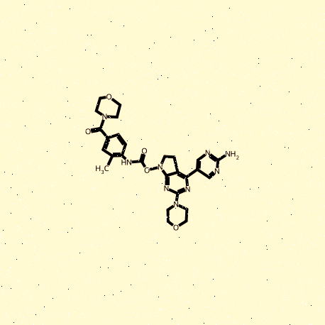 Cc1cc(C(=O)N2CCOCC2)ccc1NC(=O)ON1CCc2c(-c3cnc(N)nc3)nc(N3CCOCC3)nc21